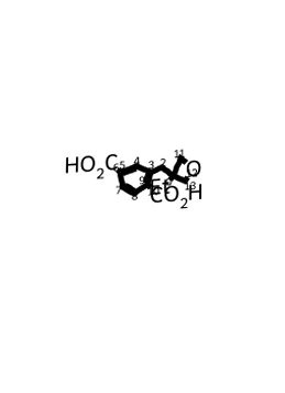 CCC1(Cc2cc(C(=O)O)ccc2C(=O)O)COC1